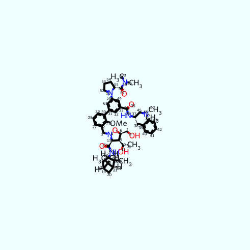 COc1c(CN2O[C@@H](CO)[C@@H]([C@H](C)O)[C@H]2C(=O)N[C@H]2C[C@H]3C[C@@H]([C@@H]2C)C3(C)C)cccc1-c1cc(C(=O)N[C@@H](Cc2ccccc2)CN(C)C)cc(N2CCC[C@@H]2C(=O)N(C)C)c1